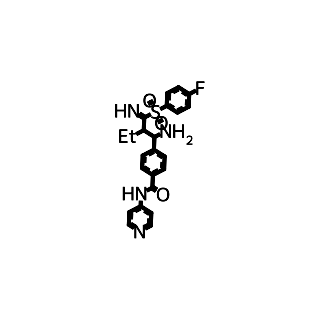 CCC(C(=N)S(=O)(=O)c1ccc(F)cc1)C(N)c1ccc(C(=O)Nc2ccncc2)cc1